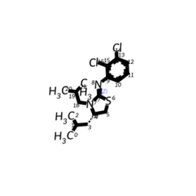 CC(C)C[C@H]1CS/C(=N\c2cccc(Cl)c2Cl)N1CC(C)C